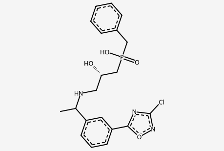 CC(NC[C@H](O)CP(=O)(O)Cc1ccccc1)c1cccc(-c2nc(Cl)no2)c1